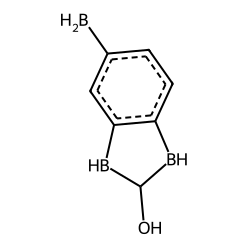 Bc1ccc2c(c1)BC(O)B2